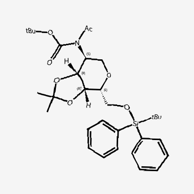 CC(=O)N(C(=O)OC(C)(C)C)[C@H]1CO[C@H](CO[Si](c2ccccc2)(c2ccccc2)C(C)(C)C)[C@@H]2OC(C)(C)O[C@@H]21